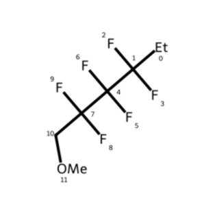 CCC(F)(F)C(F)(F)C(F)(F)COC